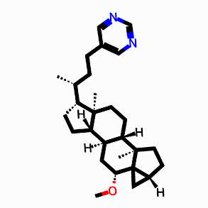 CO[C@@H]1C[C@H]2[C@@H]3CC[C@H]([C@H](C)CCc4cncnc4)[C@@]3(C)CC[C@@H]2[C@@]2(C)CC[C@@H]3CC312